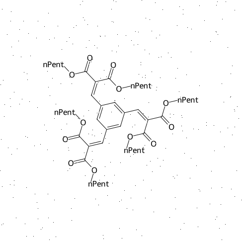 CCCCCOC(=O)C(=Cc1[c]c(C=C(C(=O)OCCCCC)C(=O)OCCCCC)cc(C=C(C(=O)OCCCCC)C(=O)OCCCCC)c1)C(=O)OCCCCC